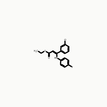 CCOC(=O)/C=C(\Nc1ccc(F)cc1)c1cccc(Cl)c1